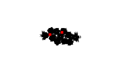 Cc1cc(N(c2ccccc2)c2ccc3c4cccc5c6c(-c7ccccc7)c7c(c(-c8ccccc8)c6n(c3c2)c45)c2cccc3c4ccc(N(c5ccccc5)c5cc(C)c(C)c(C)c5)cc4n7c32)cc(C)c1C